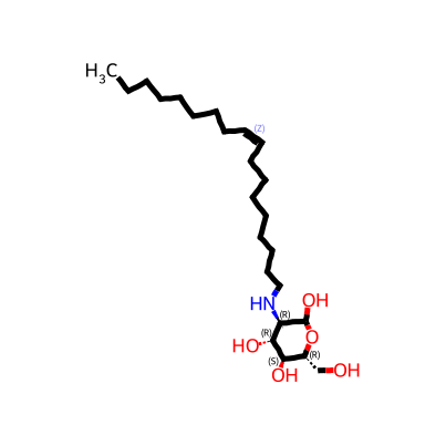 CCCCCCCC/C=C\CCCCCCCCN[C@H]1C(O)O[C@H](CO)[C@@H](O)[C@@H]1O